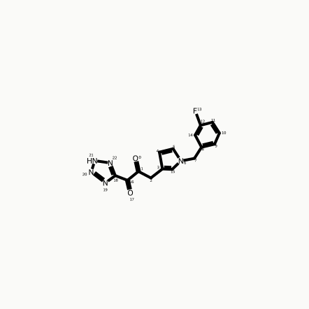 O=C(Cc1ccn(Cc2cccc(F)c2)c1)C(=O)c1nn[nH]n1